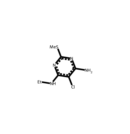 CCNc1nc(SC)nc(N)c1Cl